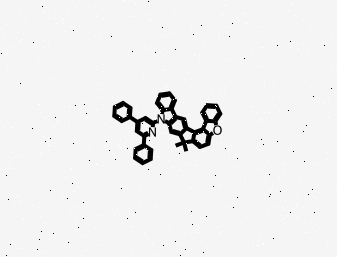 CC1(C)c2cc3c(cc2-c2c1ccc1oc4ccccc4c21)c1ccccc1n3-c1cc(-c2ccccc2)cc(-c2ccccc2)n1